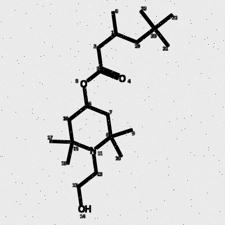 CC(CC(=O)OC1CC(C)(C)N(CCO)C(C)(C)C1)CC(C)(C)C